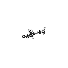 O=C(NC(CCCCNC1CC1c1cc(F)cc(F)c1)C(=O)NCc1ccc(-c2ccccc2)cc1)c1cnco1